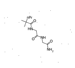 CCCC(C)(C)C(=O)NCC(=O)NCC(N)=O